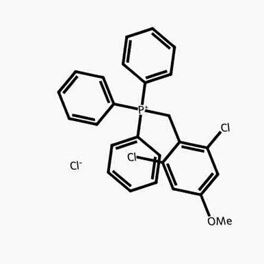 COc1cc(Cl)c(C[P+](c2ccccc2)(c2ccccc2)c2ccccc2)c(Cl)c1.[Cl-]